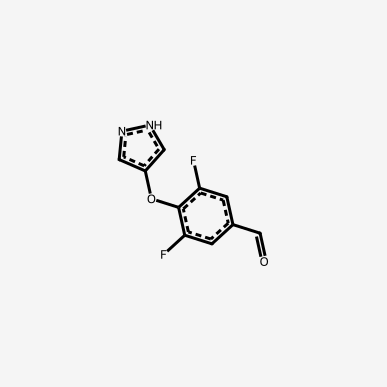 O=Cc1cc(F)c(Oc2cn[nH]c2)c(F)c1